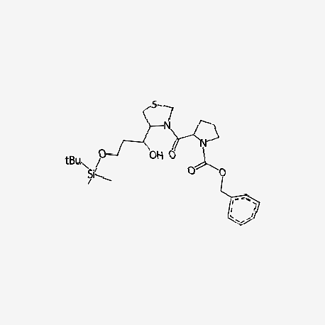 CC(C)(C)[Si](C)(C)OCCC(O)C1CSCN1C(=O)C1CCCN1C(=O)OCc1ccccc1